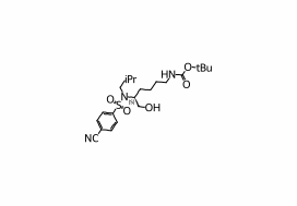 CC(C)CN([C@H](CO)CCCCNC(=O)OC(C)(C)C)S(=O)(=O)c1ccc(C#N)cc1